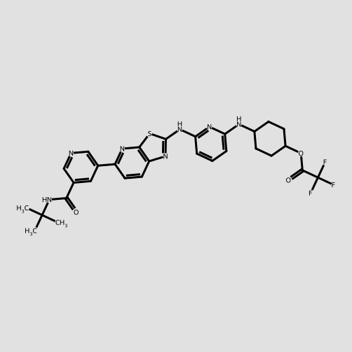 CC(C)(C)NC(=O)c1cncc(-c2ccc3nc(Nc4cccc(NC5CCC(OC(=O)C(F)(F)F)CC5)n4)sc3n2)c1